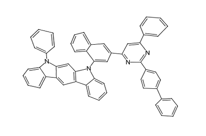 c1ccc(-c2ccc(-c3nc(-c4ccccc4)cc(-c4cc(-n5c6ccccc6c6cc7c8ccccc8n(-c8ccccc8)c7cc65)c5ccccc5c4)n3)cc2)cc1